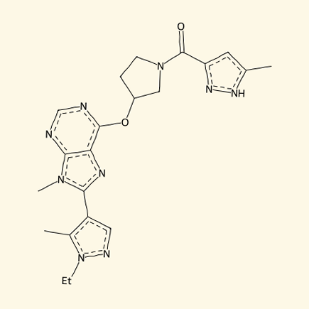 CCn1ncc(-c2nc3c(OC4CCN(C(=O)c5cc(C)[nH]n5)C4)ncnc3n2C)c1C